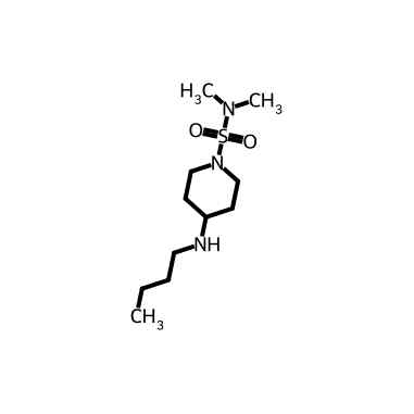 CCCCNC1CCN(S(=O)(=O)N(C)C)CC1